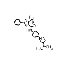 CN(C)C1CCN(c2ccc(NC(=O)c3sc(-c4ccccc4)nc3C(F)(F)F)cc2)C1